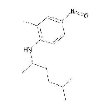 Cc1cc(N=O)ccc1NC(C)CCC(C)C